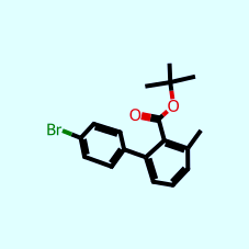 Cc1cccc(-c2ccc(Br)cc2)c1C(=O)OC(C)(C)C